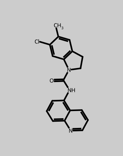 Cc1cc2c(cc1Cl)N(C(=O)Nc1cccc3ncccc13)CC2